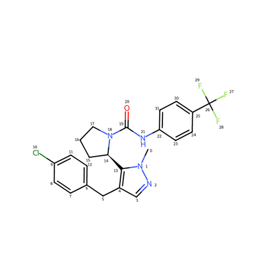 Cn1ncc(Cc2ccc(Cl)cc2)c1[C@H]1CCCN1C(=O)Nc1ccc(C(F)(F)F)cc1